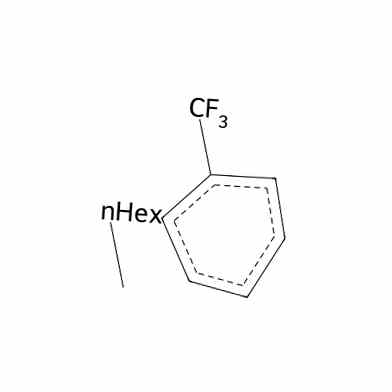 CCCCCCC.FC(F)(F)c1ccccc1